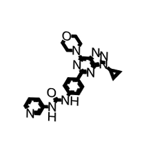 O=C(Nc1ccc(-c2nc(N3CCOCC3)c3nnn(C4CC4)c3n2)cc1)Nc1cccnc1